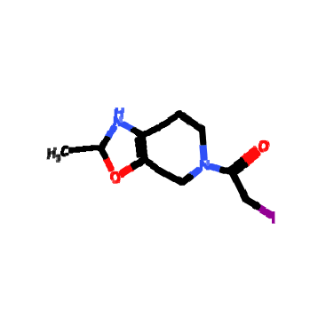 CC1NC2=C(CN(C(=O)CI)CC2)O1